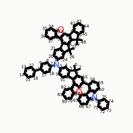 CC1(C)c2cc(N(c3ccc(-c4ccccc4)cc3)c3ccc4c(c3)C(C)(C)c3c5c(c6oc7ccccc7c6c3-4)-c3ccccc3C5(C)C)ccc2-c2c1cc(-c1cccc3c1c1ccccc1n3-c1ccccc1)c1oc3ccccc3c21